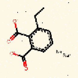 CCc1cccc(C(=O)[O-])c1C(=O)[O-].[Na+].[Na+]